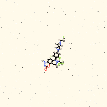 CNc1ccc2c(c1OC=O)C[C@@H](C)N(CC(F)(F)F)C2c1c(F)cc(N2CC3(CN(CCF)C3)C2)cc1F